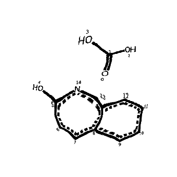 O=C(O)O.Oc1ccc2ccccc2n1